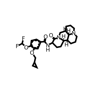 O=C(NC1CC[C@@H]2[C@H]3CCCN4CCC[C@@H](CN2C1=O)[C@@H]34)c1ccc(OC(F)F)c(OCC2CC2)c1